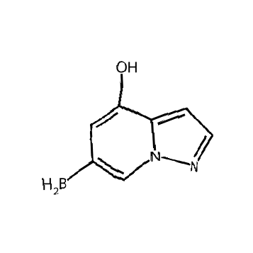 Bc1cc(O)c2ccnn2c1